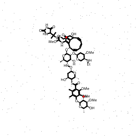 CCN[C@H]1CO[C@@H](O[C@H]2[C@H](O[C@H]3C#C/C=C\C#C[C@]4(O)CC(=O)C(NC(=O)OC)=C3/C4=C\CSSC(C)(C)C3NC(=O)NC3=O)O[C@H](C)[C@@H](NO[C@H]3C[C@H](O)[C@H](SC(=O)c4c(C)c(I)c(O[C@@H]5O[C@@H](C)[C@H](O)[C@@H](OC)[C@H]5O)c(OC)c4OC)[C@@H](C)O3)[C@H]2O)C[C@@H]1OC